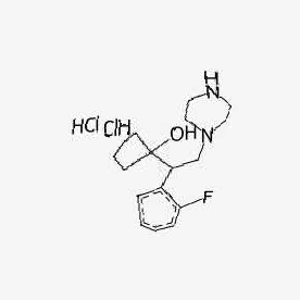 Cl.Cl.OC1(C(CN2CCNCC2)c2ccccc2F)CCC1